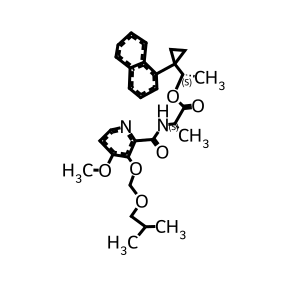 COc1ccnc(C(=O)N[C@@H](C)C(=O)O[C@@H](C)C2(c3cccc4ccccc34)CC2)c1OCOCC(C)C